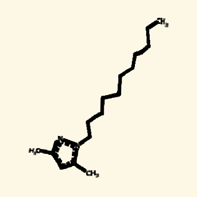 CCCCCCCCCCCn1nc(C)cc1C